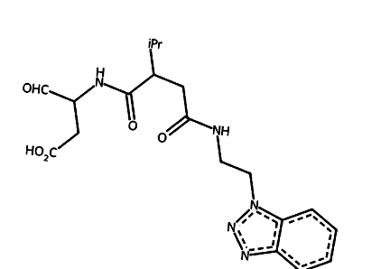 CC(C)C(CC(=O)NCCn1nnc2ccccc21)C(=O)NC(C=O)CC(=O)O